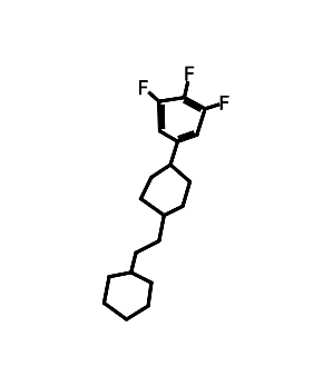 Fc1cc(C2CCC(CCC3CCCCC3)CC2)cc(F)c1F